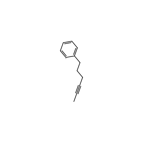 CC#CCCCc1[c]cccc1